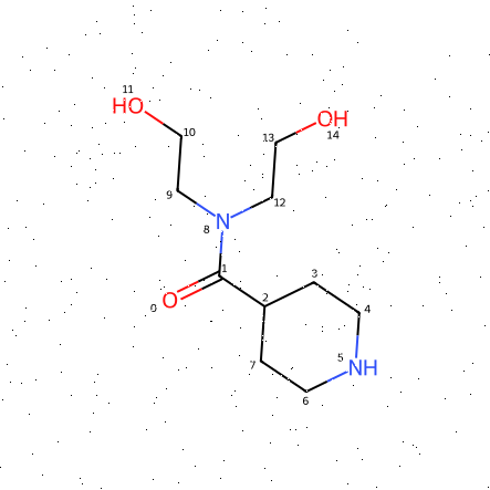 O=C(C1CCNCC1)N(CCO)CCO